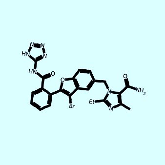 CCc1nc(C)c(C(N)=O)n1Cc1ccc2oc(-c3ccccc3C(=O)Nc3nnn[nH]3)c(Br)c2c1